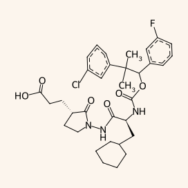 CC(C)(c1cccc(Cl)c1)C(OC(=O)N[C@@H](CC1CCCCC1)C(=O)NN1CC[C@H](CCC(=O)O)C1=O)c1cccc(F)c1